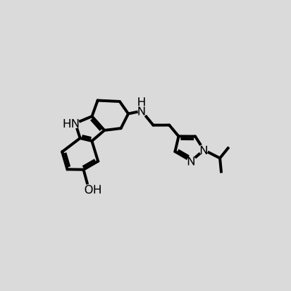 CC(C)n1cc(CCNC2CCc3[nH]c4ccc(O)cc4c3C2)cn1